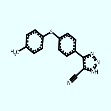 Cc1ccc(Sc2ccc(-c3nn[nH]c3C#N)cc2)cc1